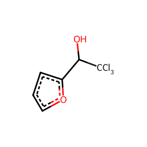 OC(c1ccco1)C(Cl)(Cl)Cl